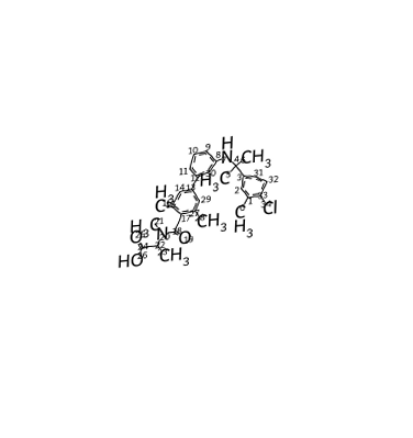 Cc1cc(C(C)(C)Nc2cccc(-c3cc(C)c(C(=O)N(C)C(C)C(=O)O)c(C)c3)c2)ccc1Cl